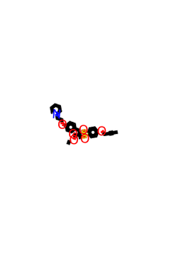 CC#CCOc1ccc(S(=O)(=O)C(C)(Cc2ccc(OCCN3CCCCC3)cc2)C(=O)OCC)cc1